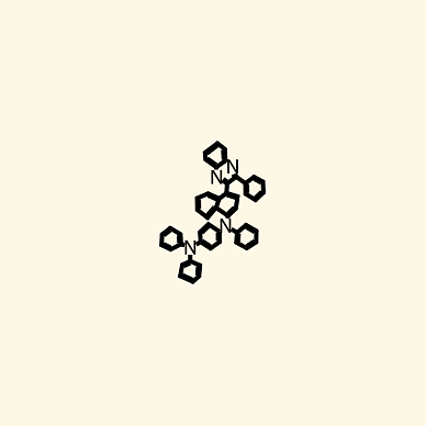 c1ccc(-c2nc3ccccc3nc2-c2ccc(N(c3ccccc3)c3ccc(N(c4ccccc4)c4ccccc4)cc3)c3ccccc23)cc1